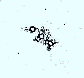 COc1ccc(CN2N=C(c3nccnc3C(C)NC(=O)c3cc(C(F)(F)F)cc(C(F)(F)F)c3)SC(C)(C)C2=O)cc1